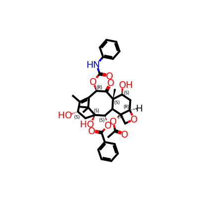 CC(=O)O[C@@]12CO[C@@H]1C[C@H](O)[C@@]1(C)C(=O)[C@H](OC(=O)Nc3ccccc3)C3=C(C)[C@@H](O)C[C@@](O)([C@@H](OC(=O)c4ccccc4)C12)C3(C)C